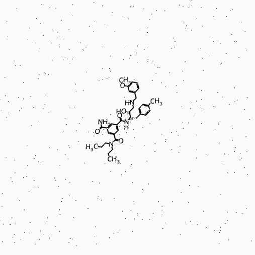 CCCN(CCC)C(=O)c1cc(C(N)=O)cc(C(=O)N[C@@H](Cc2ccc(C)cc2)[C@H](O)CNCc2cccc(OC)c2)c1